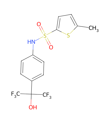 Cc1ccc(S(=O)(=O)Nc2ccc(C(O)(C(F)(F)F)C(F)(F)F)cc2)s1